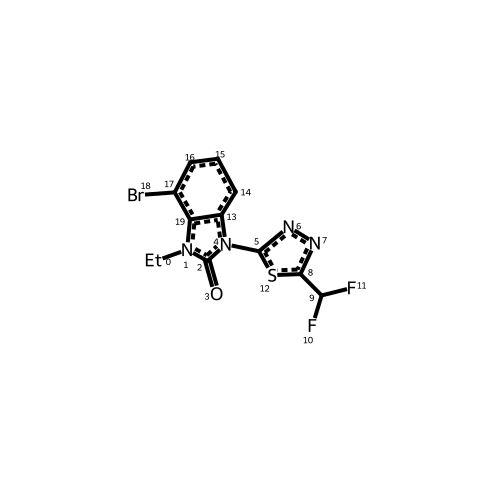 CCn1c(=O)n(-c2nnc(C(F)F)s2)c2cccc(Br)c21